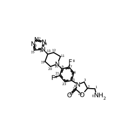 NCC1CN(c2cc(F)c(N3CCC(n4cnnn4)CC3)c(F)c2)C(=O)O1